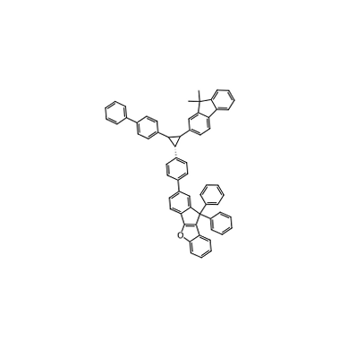 CC1(C)c2ccccc2-c2ccc(C3C(c4ccc(-c5ccccc5)cc4)[C@H]3c3ccc(-c4ccc5c(c4)C(c4ccccc4)(c4ccccc4)c4c-5oc5ccccc45)cc3)cc21